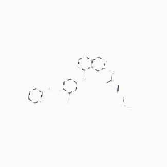 CN(C)C/C=C/C(=O)Nc1cc2c(Nc3ccc(OCc4ccccn4)c(F)c3)ncnc2cn1